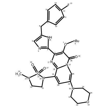 CCCCOc1c(-c2ncc(Cc3ccc(F)cc3)[nH]2)nc2c(N3CCN(C)S3(=O)=O)cc(N3CCOCC3)cn2c1=O